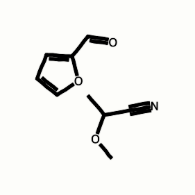 COC(C)C#N.O=Cc1ccco1